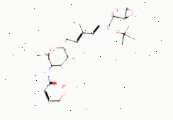 CC(/C=C/[C@H]1OC(C)(C)C[C@@]2(CO2)[C@@H]1O)=C\C[C@@H]1O[C@H](C)C(NC(=O)/C=C\[C@@H](C)O)C[C@@H]1C